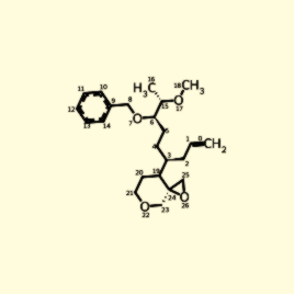 C=CC[C@H](CC[C@@H](OCc1ccccc1)[C@H](C)OC)C1CCOC[C@@]12CO2